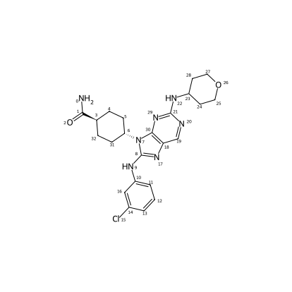 NC(=O)[C@H]1CC[C@H](n2c(Nc3cccc(Cl)c3)nc3cnc(NC4CCOCC4)nc32)CC1